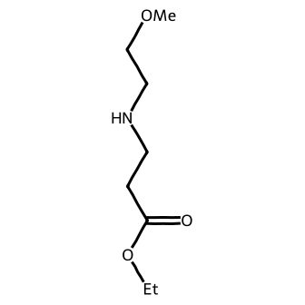 CCOC(=O)CCNCCOC